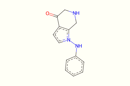 O=C1CNCc2c1ccn2Nc1ccccc1